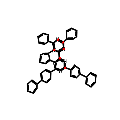 c1ccc(-c2ccc(-c3nc(-c4ccc(-c5ccccc5)cc4)nc(-c4ccccc4-c4ccccc4-c4ccccc4-c4nc(-c5ccccc5)nc(-c5ccccc5)n4)n3)cc2)cc1